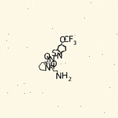 NCCC(=O)N1CCCC[C@H]1C(=O)Nc1nc2ccc(OC(F)(F)F)cc2s1